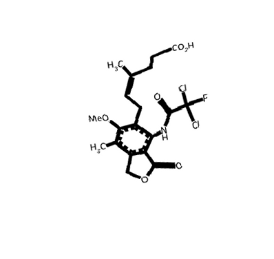 COc1c(C)c2c(c(NC(=O)C(F)(Cl)Cl)c1CC=C(C)CCC(=O)O)C(=O)OC2